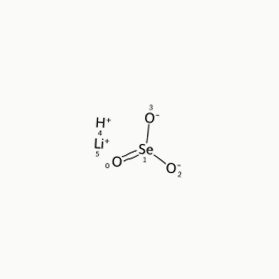 O=[Se]([O-])[O-].[H+].[Li+]